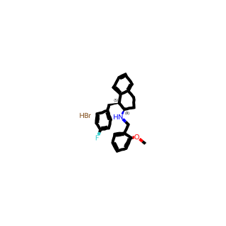 Br.COc1ccccc1CN[C@@H]1CCc2ccccc2[C@@H]1Cc1ccc(F)cc1